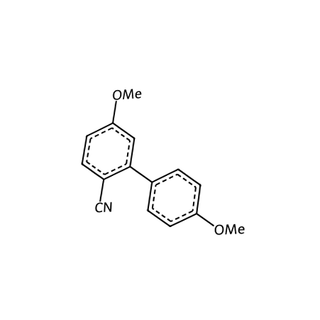 COc1ccc(-c2cc(OC)ccc2C#N)cc1